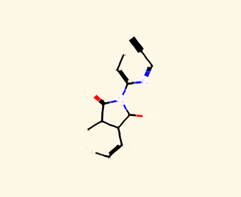 C#C/C=N\C(=C/C)N1C(=O)C(C)C(/C=C\CC)C1O